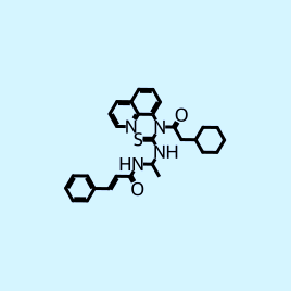 CC(NC(=O)/C=C/c1ccccc1)NC(=S)N(C(=O)CC1CCCCC1)c1cccc2cccnc12